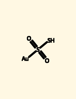 O=[S](=O)(S)[Au]